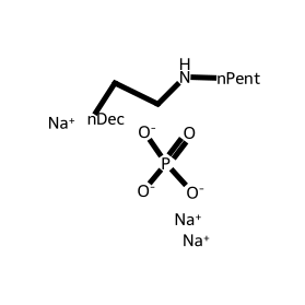 CCCCCCCCCCCCNCCCCC.O=P([O-])([O-])[O-].[Na+].[Na+].[Na+]